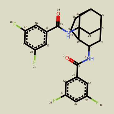 O=C(NC1CC2CC3CCC1C(NC(=O)c1cc(F)cc(F)c1)(C3)C2)c1cc(F)cc(F)c1